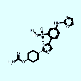 CCNS(=O)(=O)c1cc(Nc2ncco2)ccc1-c1cnc([C@H]2CC[C@H](OC(N)=O)CC2)s1